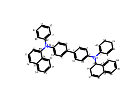 C1=CC(N(c2ccc(-c3ccc(N(c4ccccc4)c4cccc5ccccc45)cc3)cc2)C2CC=Cc3ccccc32)=CCC1